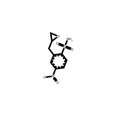 NS(=O)(=O)c1ccc([N+](=O)[O-])cc1CC1CO1